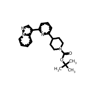 CC(C)(C)OC(=O)N1CCC(c2cccc(-c3cnn4ccccc34)n2)CC1